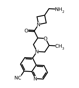 CC1CN(c2ccc(C#N)c3ncccc23)CC(C(=O)N2CC(CN)C2)O1